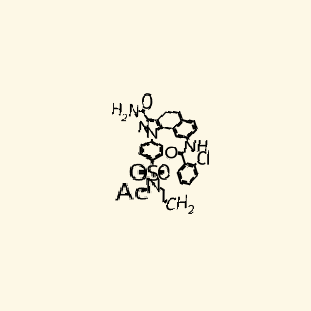 C=CCN(C(C)=O)S(=O)(=O)c1ccc(-n2nc(C(N)=O)c3c2-c2cc(NC(=O)c4ccccc4Cl)ccc2CC3)cc1